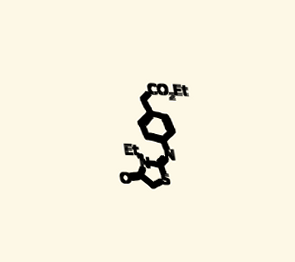 CCOC(=O)Cc1ccc(/N=C2/SCC(=O)N2CC)cc1